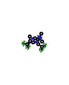 N#Cc1ccc(-n2c3ccccc3c3cc(-c4cc(C(F)(F)F)cc(C(F)(F)F)c4)ccc32)c(-c2cc(-c3nc(-c4ccccc4)nc(-c4ccccc4)n3)ccc2-n2c3ccccc3c3cc(-c4cc(C(F)(F)F)cc(C(F)(F)F)c4)ccc32)c1